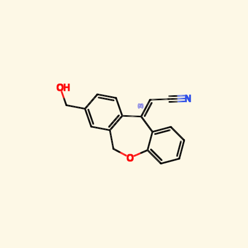 N#C/C=C1/c2ccc(CO)cc2COc2ccccc21